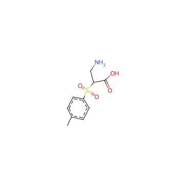 Cc1ccc(S(=O)(=O)C(CN)C(=O)O)cc1